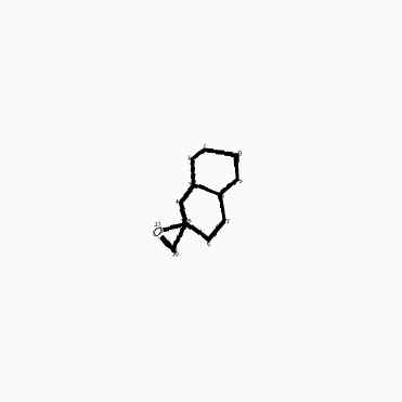 C1CCC2CC3(CCC2C1)CO3